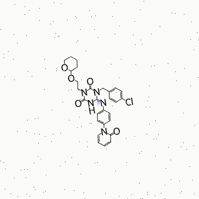 O=c1ccccn1-c1ccc(/N=c2\[nH]c(=O)n(CCOC3CCCCO3)c(=O)n2Cc2ccc(Cl)cc2)cc1